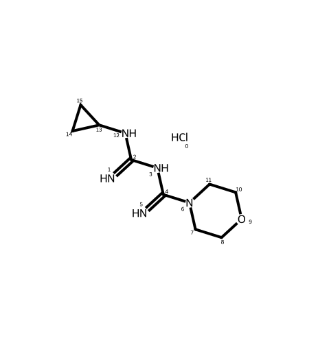 Cl.N=C(NC(=N)N1CCOCC1)NC1CC1